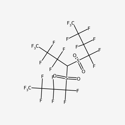 O=S(=O)(C(C(F)(F)C(F)(F)C(F)(F)F)S(=O)(=O)C(F)(F)C(F)(F)C(F)(F)C(F)(F)F)C(F)(F)C(F)(F)C(F)(F)C(F)(F)F